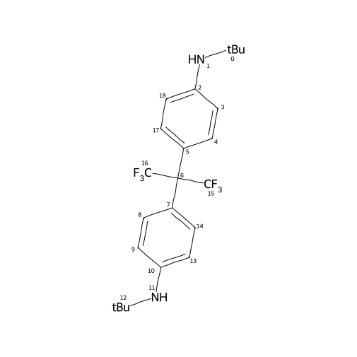 CC(C)(C)Nc1ccc(C(c2ccc(NC(C)(C)C)cc2)(C(F)(F)F)C(F)(F)F)cc1